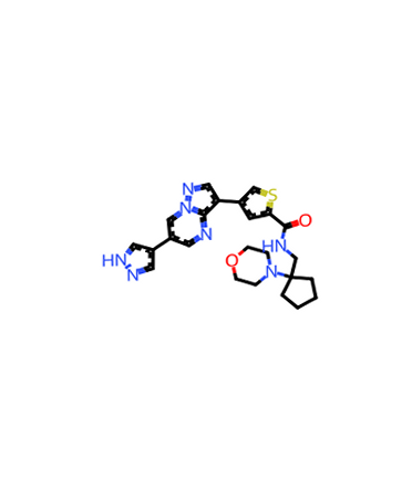 O=C(NCC1(N2CCOCC2)CCCC1)c1cc(-c2cnn3cc(-c4cn[nH]c4)cnc23)cs1